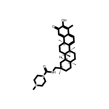 CC1=C(O)C(=O)C=C2C1=CC=C1[C@@]2(C)CC[C@@]2(C)[C@@H]3C[C@](C)(CNC(=O)N4CCN(C)CC4)CC[C@]3(C)CC[C@]12C